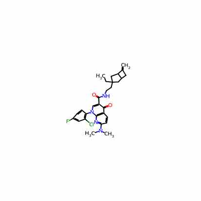 C=C1CC2CC(CC)(CCNC(=O)c3cn(-c4ccc(F)cc4Cl)c4nc(N(C)C)ccc4c3=O)CC12